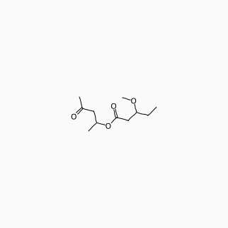 CCC(CC(=O)OC(C)CC(C)=O)OC